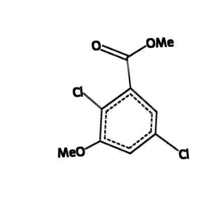 COC(=O)c1cc(Cl)cc(OC)c1Cl